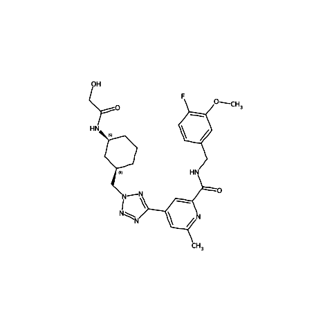 COc1cc(CNC(=O)c2cc(-c3nnn(C[C@@H]4CCC[C@H](NC(=O)CO)C4)n3)cc(C)n2)ccc1F